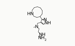 CN(CCNN)Cc1c[nH]nc1C1CCCCCCNCC1